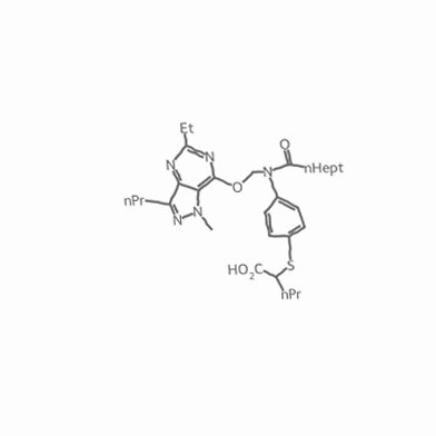 CCCCCCCC(=O)N(COc1nc(CC)nc2c(CCC)nn(C)c12)c1ccc(SC(CCC)C(=O)O)cc1